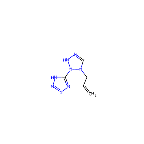 C=CCN1[C]=NNN1c1nnn[nH]1